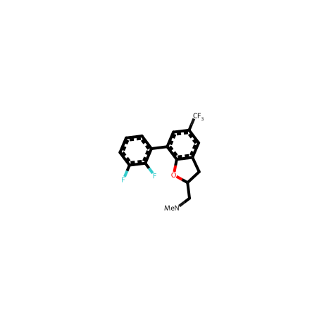 CNCC1Cc2cc(C(F)(F)F)cc(-c3cccc(F)c3F)c2O1